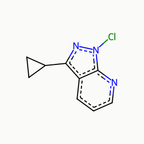 Cln1nc(C2CC2)c2cccnc21